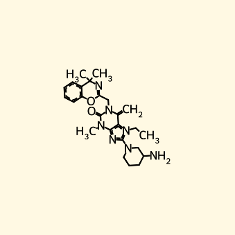 C=C1c2c(nc(N3CCCC(N)C3)n2CC)N(C)C(=O)N1CC1=NC(C)(C)c2ccccc2O1